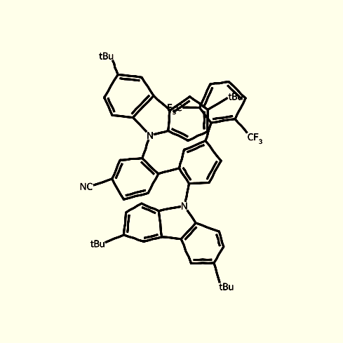 CC(C)(C)c1ccc2c(c1)c1cc(C(C)(C)C)ccc1n2-c1ccc(-c2c(C(F)(F)F)cccc2C(F)(F)F)cc1-c1ccc(C#N)cc1-n1c2ccc(C(C)(C)C)cc2c2cc(C(C)(C)C)ccc21